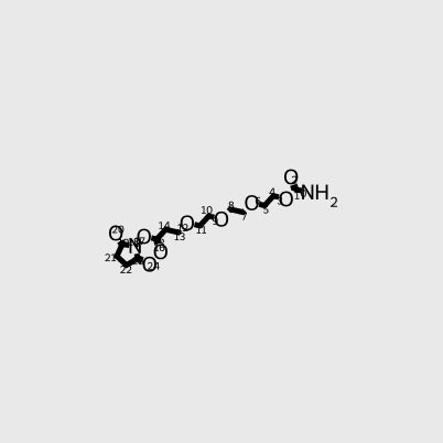 NC(=O)OCCOCCOCCOCCC(=O)ON1C(=O)CCC1=O